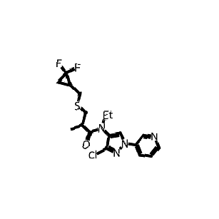 CCN(C(=O)C(C)CSCC1CC1(F)F)c1cn(-c2cccnc2)nc1Cl